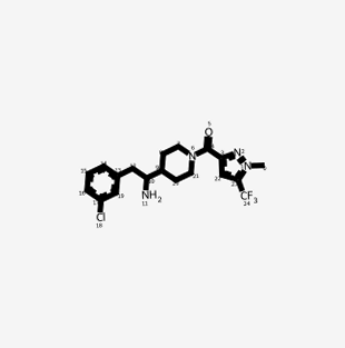 Cn1nc(C(=O)N2CCC(C(N)Cc3cccc(Cl)c3)CC2)cc1C(F)(F)F